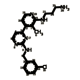 Cc1c(-c2ccnc(NCc3cccc(Cl)c3)n2)ccnc1NCCCN